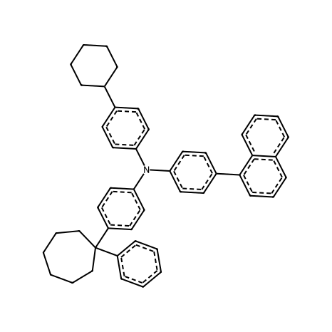 c1ccc(C2(c3ccc(N(c4ccc(-c5cccc6ccccc56)cc4)c4ccc(C5CCCCC5)cc4)cc3)CCCCCC2)cc1